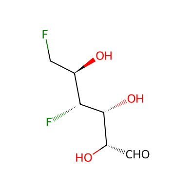 O=C[C@H](O)[C@@H](O)[C@H](F)[C@H](O)CF